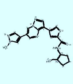 Cn1cc(-c2cnc3c(-c4csc(C(=O)NC5CCCC5O)c4)cnn3c2)cn1